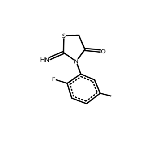 Cc1ccc(F)c(N2C(=N)SCC2=O)c1